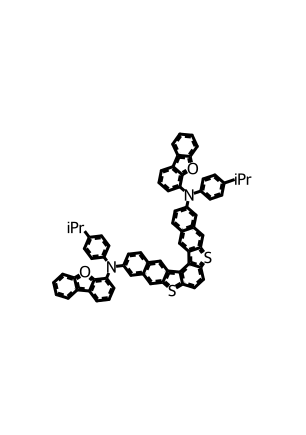 CC(C)c1ccc(N(c2ccc3cc4c(cc3c2)sc2ccc3sc5cc6cc(N(c7ccc(C(C)C)cc7)c7cccc8c7oc7ccccc78)ccc6cc5c3c24)c2cccc3c2oc2ccccc23)cc1